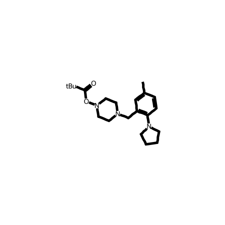 Cc1ccc(N2CCCC2)c(CN2CCN(OC(=O)C(C)(C)C)CC2)c1